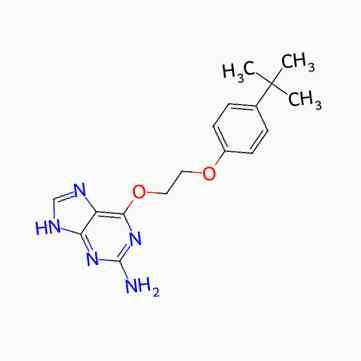 CC(C)(C)c1ccc(OCCOc2nc(N)nc3[nH]cnc23)cc1